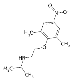 Cc1cc([N+](=O)[O-])cc(C)c1OCCNC(C)C